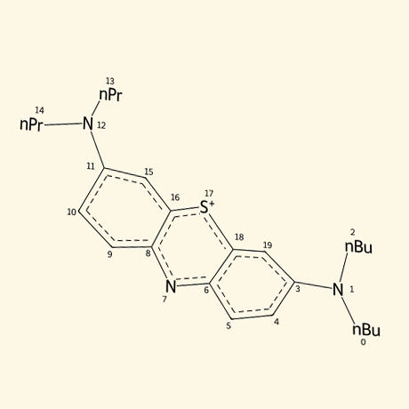 CCCCN(CCCC)c1ccc2nc3ccc(N(CCC)CCC)cc3[s+]c2c1